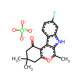 Cc1[o+]c2c(c3c1[nH]c1cc(F)ccc13)C(=O)CC(C)(C)C2.[O-][Cl+3]([O-])([O-])[O-]